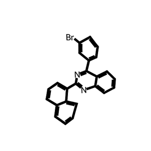 Brc1cccc(-c2nc(-c3cccc4ccccc34)nc3ccccc23)c1